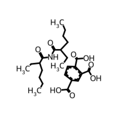 CCCCC(CC)C(=O)NC(=O)C(CC)CCCC.O=C(O)c1ccc(C(=O)O)c(C(=O)O)c1